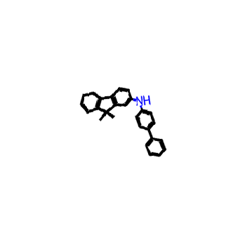 CC1(C)C2=C(CCC=C2)c2ccc(Nc3ccc(-c4ccccc4)cc3)cc21